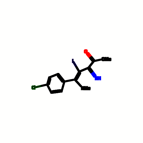 CN/C(=C(/I)C(=N)C(=O)OC)c1ccc(Cl)cc1